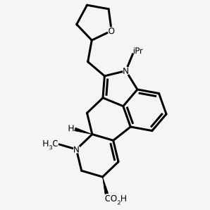 CC(C)n1c(CC2CCCO2)c2c3c(cccc31)C1=C[C@@H](C(=O)O)CN(C)[C@@H]1C2